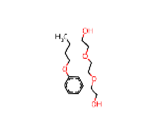 CCCCOc1ccccc1.OCCOCCOCCO